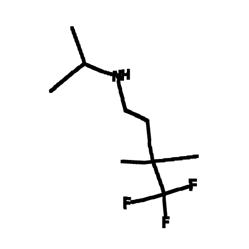 CC(C)NCCC(C)(C)C(F)(F)F